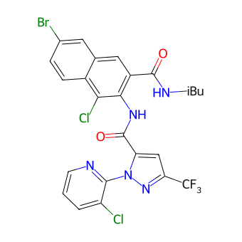 CCC(C)NC(=O)c1cc2cc(Br)ccc2c(Cl)c1NC(=O)c1cc(C(F)(F)F)nn1-c1ncccc1Cl